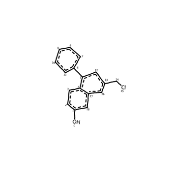 Oc1ccc2c(-c3ccccc3)cc(CCl)cc2c1